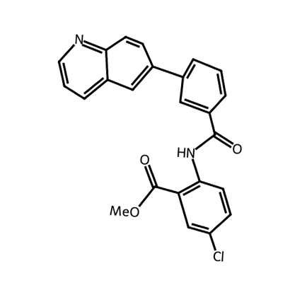 COC(=O)c1cc(Cl)ccc1NC(=O)c1cccc(-c2ccc3ncccc3c2)c1